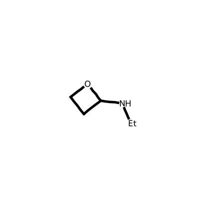 CCNC1CCO1